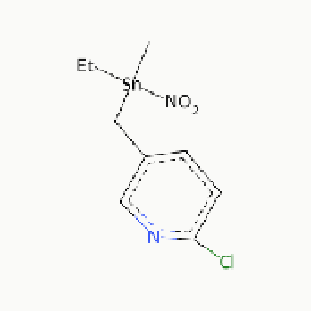 C[CH2][Sn]([CH3])([CH2]c1ccc(Cl)nc1)[N+](=O)[O-]